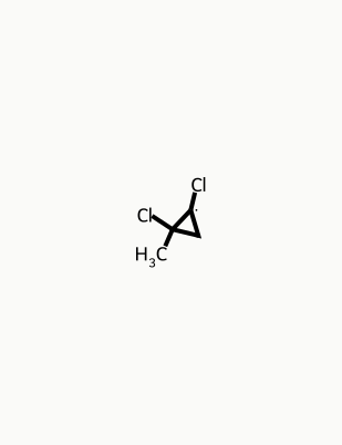 CC1(Cl)C[C]1Cl